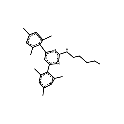 CCCCCNc1nc(-c2c(C)cc(C)cc2C)cc(-c2c(C)cc(C)cc2C)n1